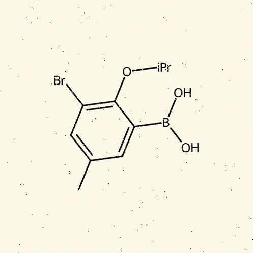 Cc1cc(Br)c(OC(C)C)c(B(O)O)c1